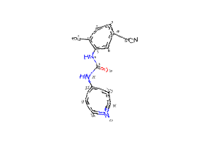 CC(C)(C)c1ccc(C#N)cc1NC(=O)Nc1ccncc1